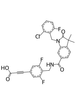 CC1(C)C(=O)N(Cc2c(F)cccc2Cl)c2cc(C(=O)NCc3c(F)cc(C#CC(=O)O)cc3F)ccc21